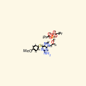 COc1ccc(Sc2nc(N)nc3c2ncn3CC(C)OCP(=O)(OC(=O)C(C)C)OC(=O)C(C)C)cc1